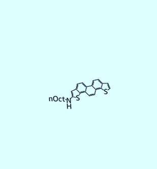 CCCCCCCCNc1cc2ccc3c4ccc5ccsc5c4ccc3c2s1